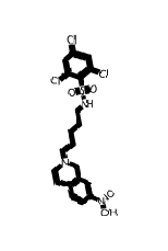 O=[N+](O)c1ccc2c(c1)CN(CCCCCNS(=O)(=O)c1c(Cl)cc(Cl)cc1Cl)CC2